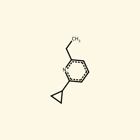 CCc1cccc(C2CC2)n1